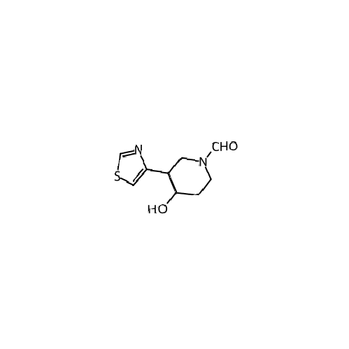 O=CN1CCC(O)C(c2cscn2)C1